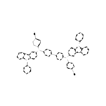 N#CC1=CC=C(N(c2ccc(-c3ccc(N(c4ccc(C#N)cc4)c4ccc5c(c4)c4ccccc4n5-c4ccccc4)cc3)cc2)c2ccc3c(c2)c2ccccc2n3-c2ccccc2)CC1